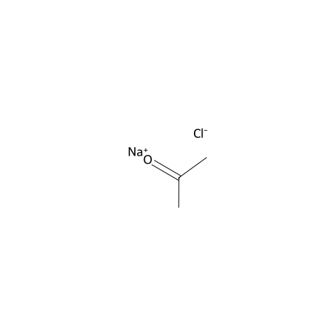 CC(C)=O.[Cl-].[Na+]